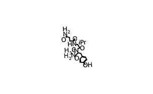 CC(C)[C@@H](NC(=O)CCC(N)=O)C(=O)N(C)C(Cc1ccc(O)cc1)C(N)=O